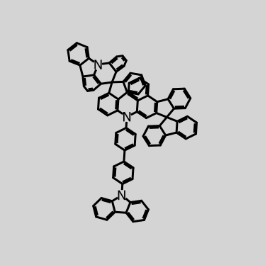 c1ccc2c(c1)-c1ccccc1C21c2ccccc2-c2c1cc(N(c1ccc(-c3ccc(-n4c5ccccc5c5ccccc54)cc3)cc1)c1cccc3c1-c1ccccc1C31c3ccccc3-n3c4ccccc4c4cccc1c43)c1ccccc21